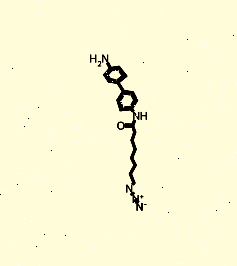 [N-]=[N+]=NCCCCCCCC(=O)Nc1ccc(-c2ccc(N)cc2)cc1